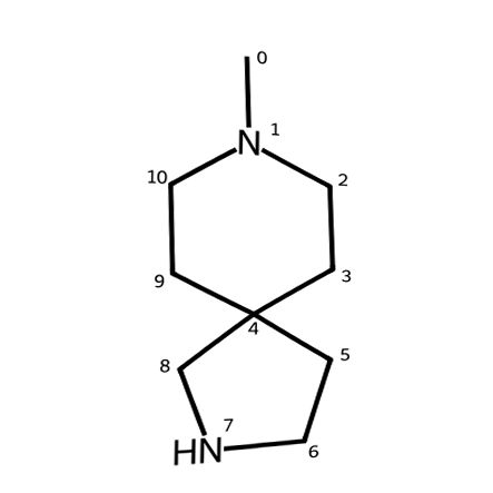 CN1CCC2(CCNC2)CC1